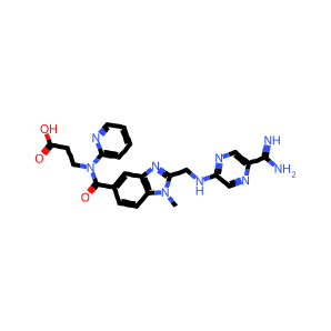 Cn1c(CNc2cnc(C(=N)N)cn2)nc2cc(C(=O)N(CCC(=O)O)c3ccccn3)ccc21